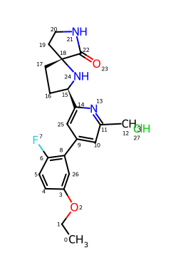 CCOc1ccc(F)c(-c2cc(C)nc([C@H]3CC[C@]4(CCNC4=O)N3)c2)c1.Cl